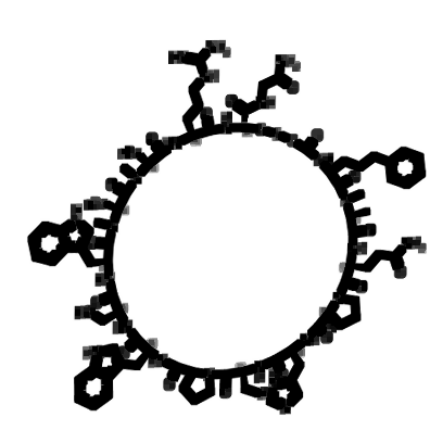 CCCC[C@H]1C(=O)N(C)[C@@H](CCCC)C(=O)N[C@@H](CCCNC(=N)N)C(=O)N[C@H](C(=O)NCC(N)=O)CSCC(=O)NC(CCCc2ccccc2)C(=O)N(C)[C@@H](C)C(=O)N[C@@H](CCC(N)=O)C(=O)N2CCC[C@H]2C(=O)N[C@@H](Cc2cnc[nH]2)C(=O)N[C@@H](CC(C)C)C(=O)N2CCCC2C(=O)N[C@@H](Cc2c[nH]c3ccccc23)C(=O)N[C@@H](CO)C(=O)N[C@@H](Cc2c[nH]c3ccccc23)C(=O)N1C